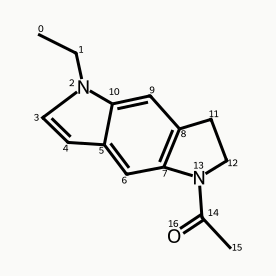 CCn1ccc2cc3c(cc21)CCN3C(C)=O